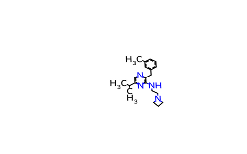 Cc1cccc(Cc2ncc(C(C)C)nc2NCCN2CCC2)c1